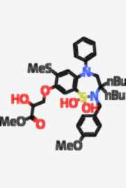 CCCCC1(CCCC)CN(c2ccccc2)c2cc(SC)c(OCC(O)C(=O)OC)cc2S(O)(O)N1Cc1ccc(OC)cc1